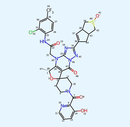 C[C@H]1OC2(CCN(C(=O)c3ncccc3O)CC2)c2c1n(CC(=O)Nc1ccc(C(F)(F)F)cc1Cl)c1nc(C3=CC4C[S+]([O-])CC4C3)nn1c2=O